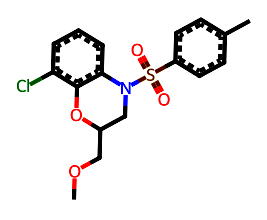 COCC1CN(S(=O)(=O)c2ccc(C)cc2)c2cccc(Cl)c2O1